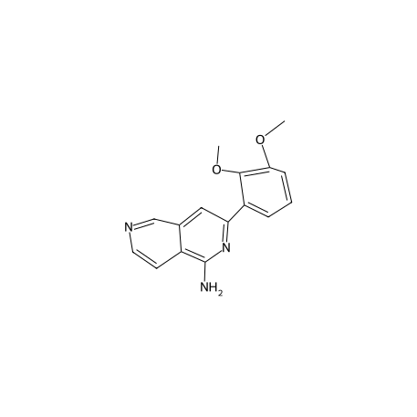 COc1cccc(-c2cc3cnccc3c(N)n2)c1OC